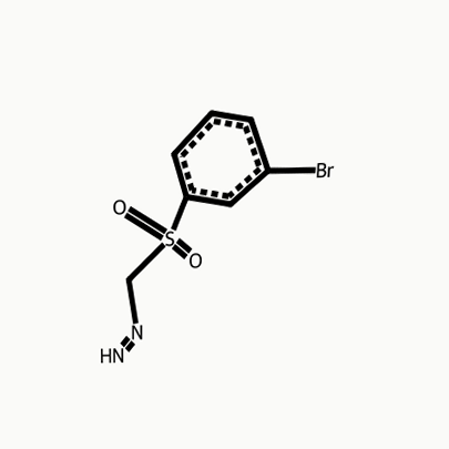 N=NCS(=O)(=O)c1cccc(Br)c1